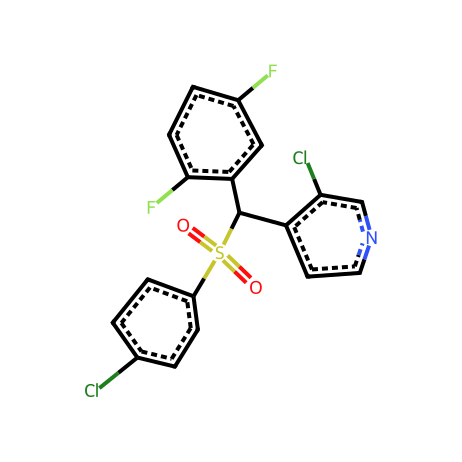 O=S(=O)(c1ccc(Cl)cc1)C(c1cc(F)ccc1F)c1ccncc1Cl